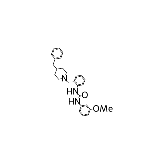 COc1cccc(NC(=O)Nc2ccccc2CN2CCC(Cc3ccccc3)CC2)c1